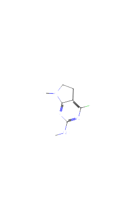 CCCNc1nc(Cl)c2c(n1)N(C(C)C)CC2